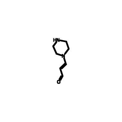 O=CC=CN1CCNCC1